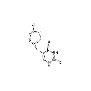 O=c1[nH]c(=S)[nH]cc1Cc1ccc(Cl)cc1